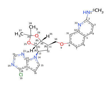 CNc1ccc2ccc(OC[C@H]3C[C@@H](n4ccc5c(Cl)ncnc54)[C@@H]4OC(C)(C)O[C@H]34)cc2n1